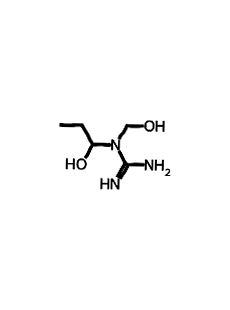 CCC(O)N(CO)C(=N)N